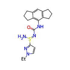 CCn1ccc(/S(N)=N/C(=O)Nc2c3c(cc4c2CCC4)CCC3)n1